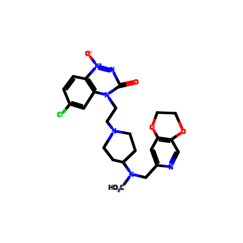 O=C(O)N(Cc1cc2c(cn1)OCCO2)C1CCN(CCn2c(=O)n[n+]([O-])c3ccc(Cl)cc32)CC1